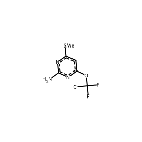 CSc1cc(OC(F)(F)Cl)nc(N)n1